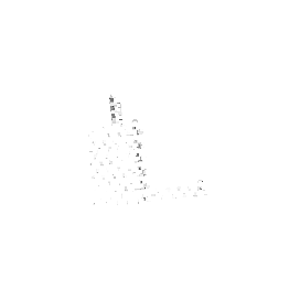 CCCCCCCCCC(=O)[O-].CCCCCCCCCC(=O)[O-].CCCCCCCCCC(=O)[O-].CCCCCCCCCC(=O)[O-].CCCCCCCCCC(=O)[O-].CCCCCCCCCC(=O)[O-].CCCCCCCCCC(=O)[O-].[Ag+].[Ag+].[Ag+].[Ag+].[Ag+].[Ag+].[Ag+]